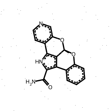 CC12Oc3cnccc3-c3[nH]c(C(N)=O)c(c31)-c1ccccc1O2